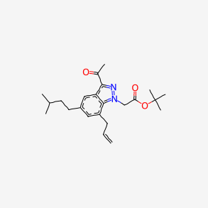 C=CCc1cc(CCC(C)C)cc2c(C(C)=O)nn(CC(=O)OC(C)(C)C)c12